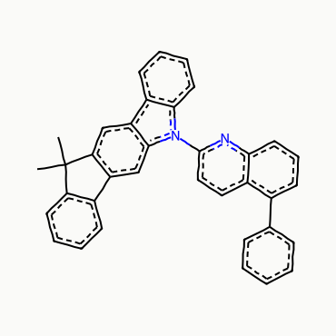 CC1(C)c2ccccc2-c2cc3c(cc21)c1ccccc1n3-c1ccc2c(-c3ccccc3)cccc2n1